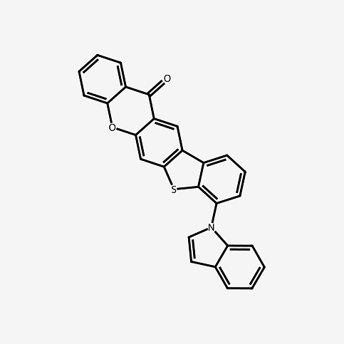 O=c1c2ccccc2oc2cc3sc4c(-n5ccc6ccccc65)cccc4c3cc12